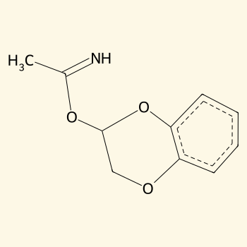 CC(=N)OC1COc2ccccc2O1